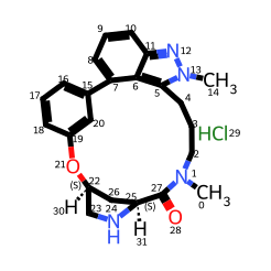 CN1CCCc2c3c(cccc3nn2C)-c2cccc(c2)O[C@@H]2CN[C@@H](C2)C1=O.Cl